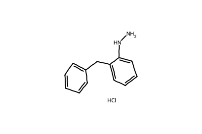 Cl.NNc1ccccc1Cc1ccccc1